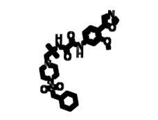 COc1cc(NC(=O)C(=O)NC(C)(C)CN2CCN(S(=O)(=O)CC3CCCCC3)CC2)ccc1-c1cnco1